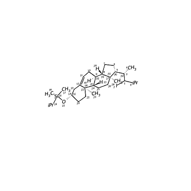 CC(C)C(I)[C@@H](C)[C@H]1CC[C@H]2[C@@H]3CC=C4C[C@@H](O[Si](C)(C)C(C)C)CC[C@]4(C)[C@H]3CC[C@]12C